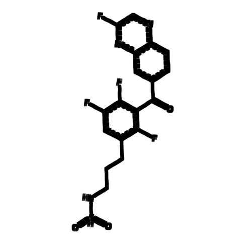 O=C(c1ccc2ncc(F)nc2c1)c1c(F)c(F)cc(CCCN[SH](=O)=O)c1F